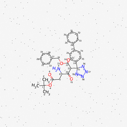 CC(C)(C)OC(=O)CC(N)C(=O)C(C(=O)OCc1ccccc1)C1(c2ccc(-c3ccccc3)cc2)N=NN=N1